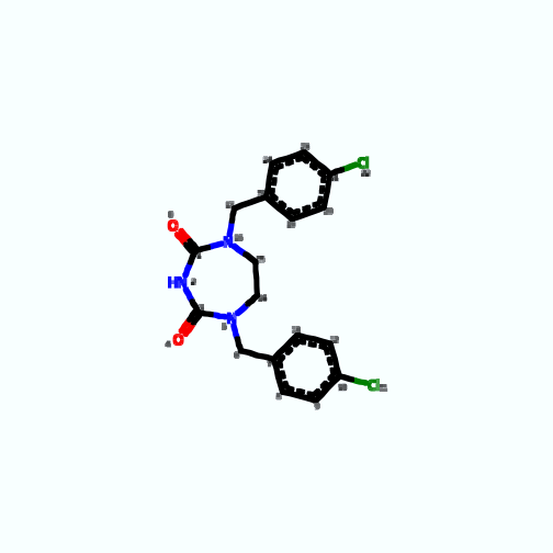 O=C1NC(=O)N(Cc2ccc(Cl)cc2)CCN1Cc1ccc(Cl)cc1